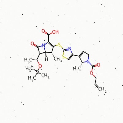 C=CCOC(=O)N1CC=C(c2csc(SC3=C(C(=O)O)N4C(=O)[C@H]([C@@H](C)O[Si](C)(C)C)[C@H]4[C@H]3C)n2)[C@H]1C